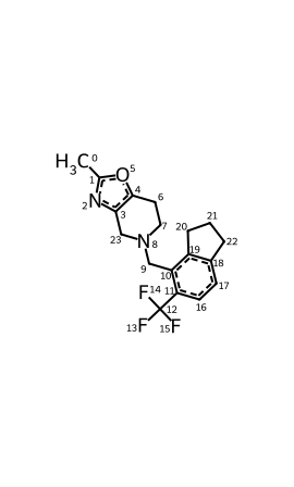 Cc1nc2c(o1)CCN(Cc1c(C(F)(F)F)ccc3c1CCC3)C2